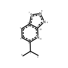 CC(C)c1ccc2snnc2n1